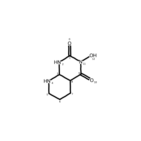 O=C1NC2NCCCC2C(=O)N1O